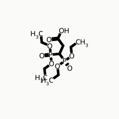 CCOP(=O)(OCC)C(CC(=O)O)P(=O)(OCC)OCC